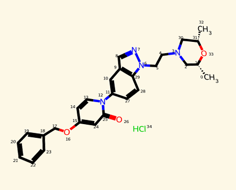 C[C@@H]1CN(CCn2ncc3cc(-n4ccc(OCc5ccccc5)cc4=O)ccc32)C[C@H](C)O1.Cl